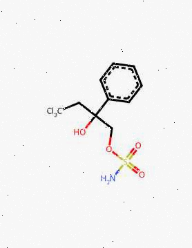 NS(=O)(=O)OCC(O)(CC(Cl)(Cl)Cl)c1ccccc1